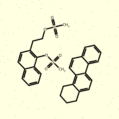 CS(=O)(=O)OCCc1ccc2ccccc2c1OS(C)(=O)=O.c1ccc2c(c1)ccc1c3c(ccc12)CCCC3